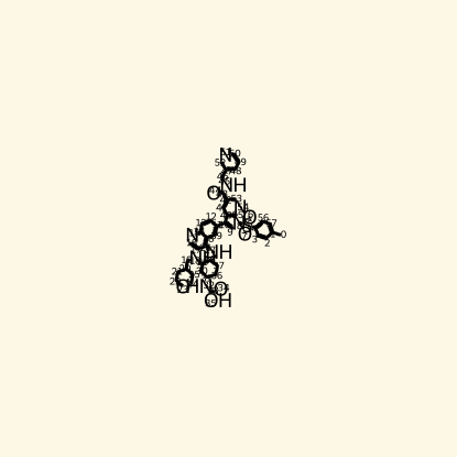 Cc1ccc(S(=O)(=O)n2cc(-c3ccc4ncc(NCC5CCOCC5)c(NC5CCC(NC(=O)O)CC5)c4c3)c3cc(C(=O)NCc4cccnc4)cnc32)cc1